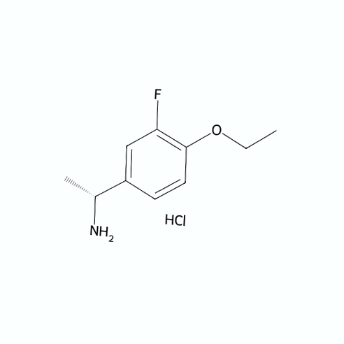 CCOc1ccc([C@@H](C)N)cc1F.Cl